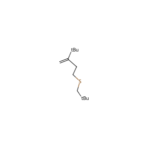 C=C(CCSCC(C)(C)C)C(C)(C)C